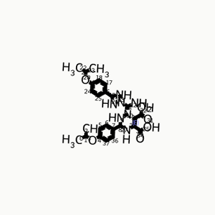 CC(C)Oc1ccc(C(NN=C(N)N2NC(c3ccc(OC(C)C)cc3)N2)N/C(=C/C(=O)O)C(=O)O)cc1